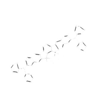 CC1(C)c2cc3cc(N(c4ccccc4)c4ccccc4)ccc3cc2-c2ccc3c(c21)C(C)(C)c1cc2cc(N(c4ccccc4)c4ccccc4)ccc2cc1-3